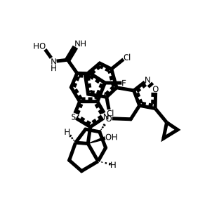 N=C(NO)c1cc(F)c2nc([C@]3(O)[C@@H]4CC[C@H]3C[C@H](OCc3c(-c5c(Cl)cccc5Cl)noc3C3CC3)C4)sc2c1